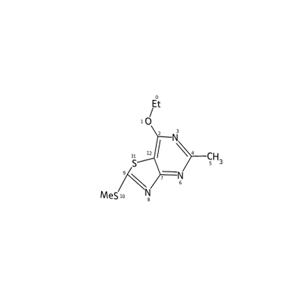 CCOc1nc(C)nc2nc(SC)sc12